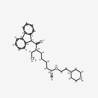 O=C(C1c2ccccc2-c2ccccc21)N(CCCC[PH](=O)OCCN1CCOCC1)CC(F)(F)F